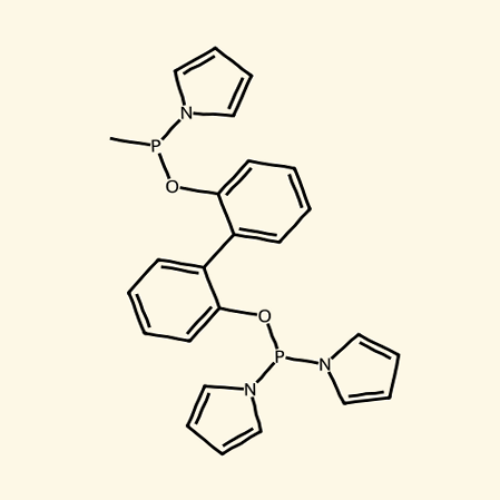 CP(Oc1ccccc1-c1ccccc1OP(n1cccc1)n1cccc1)n1cccc1